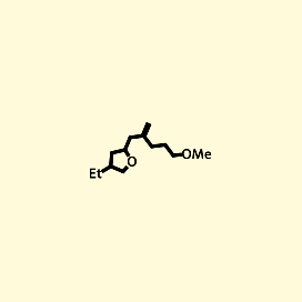 C=C(CCCOC)CC1CC(CC)CO1